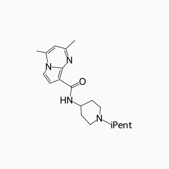 CCCC(C)N1CCC(NC(=O)c2ccn3c(C)cc(C)nc23)CC1